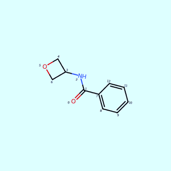 O=C(NC1COC1)c1ccccc1